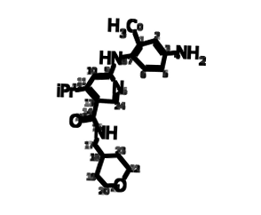 Cc1cc(N)ccc1Nc1cc(C(C)C)c(C(=O)NCC2CCOCC2)cn1